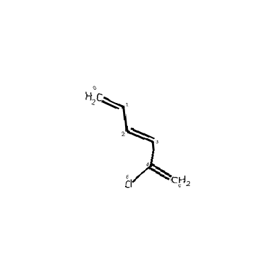 C=CC=CC(=C)Cl